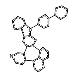 c1ccc(-c2ccc(-n3c4ccccc4c4cc5c(cc43)-c3cccc4cccc(c34)-c3ccncc3-5)cc2)cc1